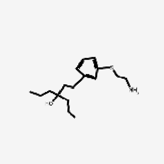 CCCC(O)(CCC)CCc1cccc(SCCN)c1